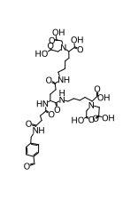 O=Cc1ccc(CNC(=O)CCC(=O)NC(CCC(=O)NCCCCC(C(=O)O)N(CC(=O)O)CC(=O)O)C(=O)NCCCCC(C(=O)O)N(CC(=O)O)CC(=O)O)cc1